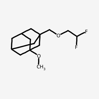 COC12CC3CC(CC(COCC(F)F)(C3)C1)C2